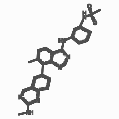 CNc1ncc2cc(-c3c(C)ccc4c(Nc5cccc(NS(C)(=O)=O)c5)ncnc34)ccc2n1